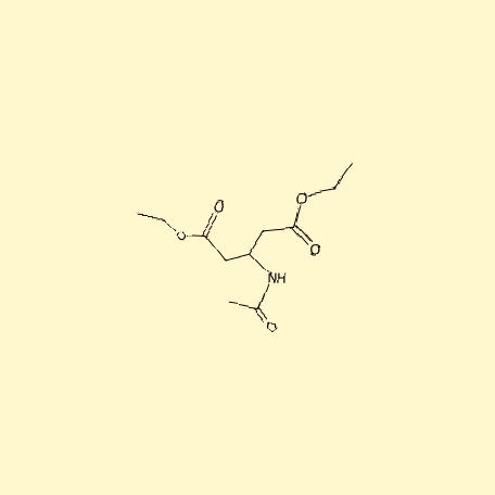 CCOC(=O)CC(CC(=O)OCC)NC(C)=O